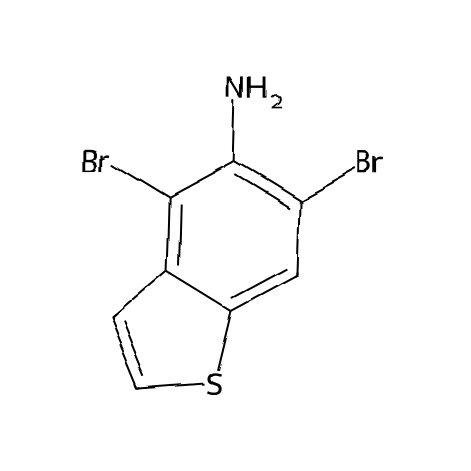 Nc1c(Br)cc2sccc2c1Br